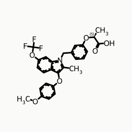 COc1ccc(Oc2c(C)n(Cc3cccc(O[C@@H](C)C(=O)O)c3)c3cc(OC(F)(F)F)ccc23)cc1